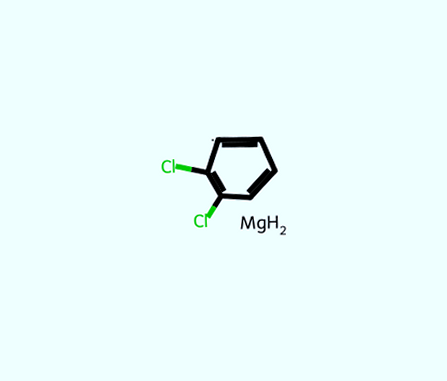 Clc1[c]cccc1Cl.[MgH2]